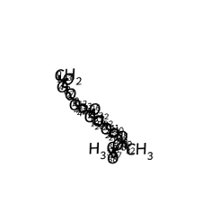 C=CC(=O)OCCOCCOc1ccc(C(=O)Oc2ccc(COc3ccc(OC(CCC)OCC4(C)COC4)cc3)cc2)cc1